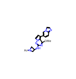 COc1nc(NC2CN(C(C)=O)C2)nn2ccc(-c3ccc4nccn4c3)c12